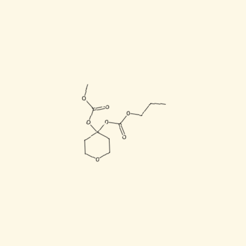 CCCOC(=O)OC1(OC(=O)OC)CCOCC1